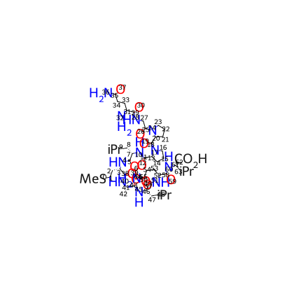 CSCC[C@H](NC(=O)[C@H](CC(C)C)NC(=O)[C@@H]1CCCN1C(=O)[C@@H]1CCCN1C(=O)CNC(=O)[C@@H](N)CCC(N)=O)C(=O)N[C@@H](C)C(=O)N[C@@H](CC(C)C)C(=O)N[C@@H](CCC(N)=O)C(=O)N[C@H](C(=O)O)C(C)C